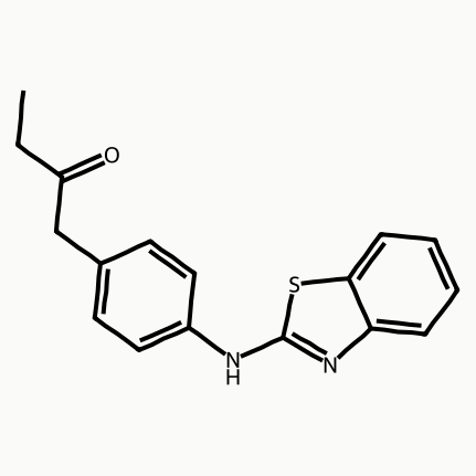 CCC(=O)Cc1ccc(Nc2nc3ccccc3s2)cc1